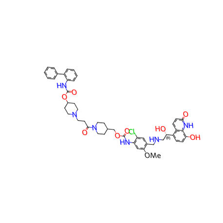 COc1cc(NC(=O)OCC2CCN(C(=O)CCN3CCC(OC(=O)Nc4ccccc4-c4ccccc4)CC3)CC2)c(Cl)cc1CNC[C@H](O)c1ccc(O)c2[nH]c(=O)ccc12